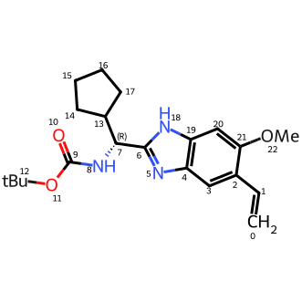 C=Cc1cc2nc([C@H](NC(=O)OC(C)(C)C)C3CCCC3)[nH]c2cc1OC